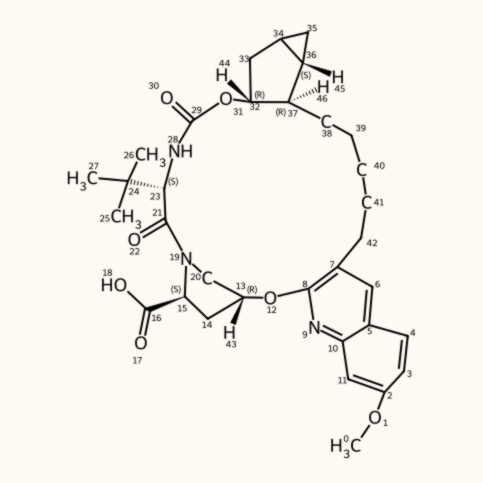 COc1ccc2cc3c(nc2c1)O[C@@H]1C[C@@H](C(=O)O)N(C1)C(=O)[C@H](C(C)(C)C)NC(=O)O[C@@H]1CC2C[C@@H]2[C@H]1CCCCC3